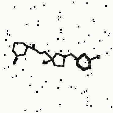 CC(=O)C1(CCNC2CCC[C@H](F)C2)CCN(Cc2cccc(Cl)c2)C1